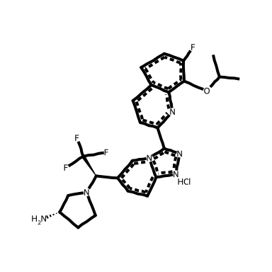 CC(C)Oc1c(F)ccc2ccc(-c3nnc4ccc([C@@H](N5CC[C@H](N)C5)C(F)(F)F)cn34)nc12.Cl